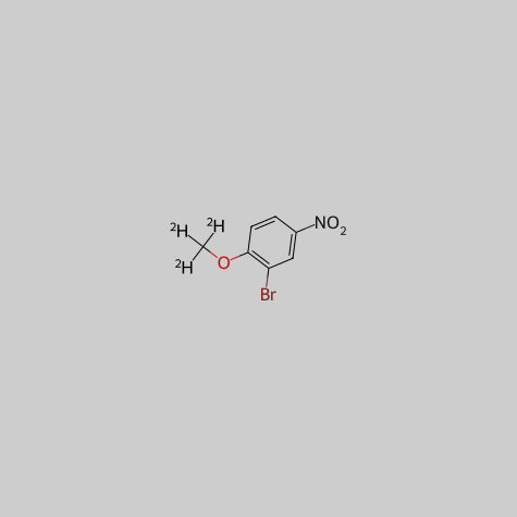 [2H]C([2H])([2H])Oc1ccc([N+](=O)[O-])cc1Br